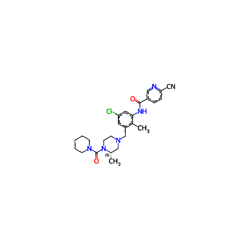 Cc1c(CN2CCN(C(=O)N3CCCCC3)[C@@H](C)C2)cc(Cl)cc1NC(=O)c1ccc(C#N)nc1